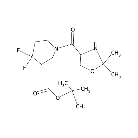 CC(C)(C)OC=O.CC1(C)NC(C(=O)N2CCC(F)(F)CC2)CO1